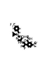 C[S+]([O-])c1ccc(C(C(=O)Nc2cnc(N(Cc3ccc(C(F)(F)F)cc3)C3CC3)nc2)C(F)F)c(CNC=O)c1